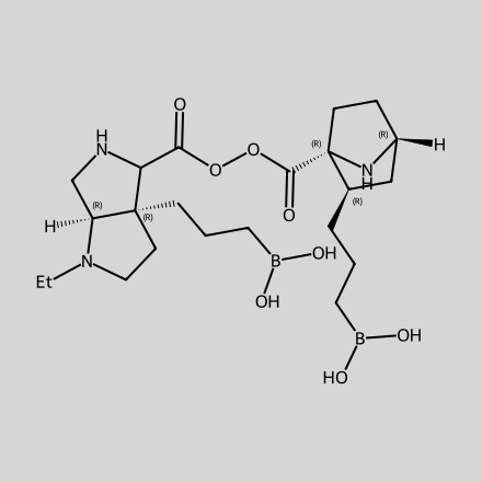 CCN1CC[C@]2(CCCB(O)O)C(C(=O)OOC(=O)[C@@]34CC[C@H](C[C@H]3CCCB(O)O)N4)NC[C@H]12